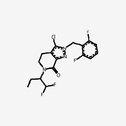 CCC(C(F)F)N1CCc2c(nn(Cc3c(F)cccc3F)c2Cl)C1=O